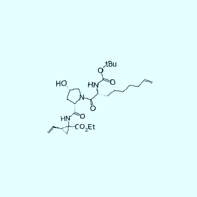 C=CCCCCC[C@@H](NC(=O)OC(C)(C)C)C(=O)N1C[C@@H](O)C[C@H]1C(=O)NC1(C(=O)OCC)C[C@H]1C=C